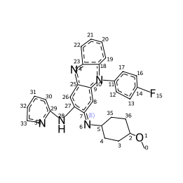 COC1CCC(/N=c2\cc3n(-c4ccc(F)cc4)c4ccccc4nc-3cc2Nc2ccccn2)CC1